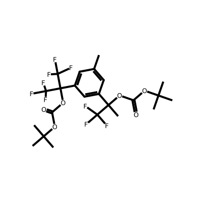 Cc1cc(C(C)(OC(=O)OC(C)(C)C)C(F)(F)F)cc(C(OC(=O)OC(C)(C)C)(C(F)(F)F)C(F)(F)F)c1